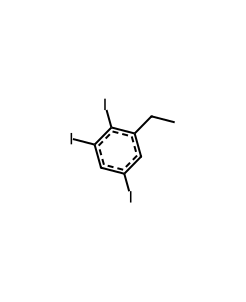 CCc1cc(I)cc(I)c1I